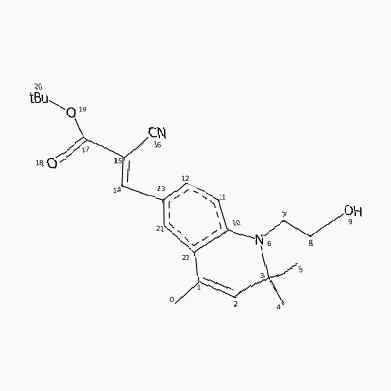 CC1=CC(C)(C)N(CCO)c2ccc(/C=C(\C#N)C(=O)OC(C)(C)C)cc21